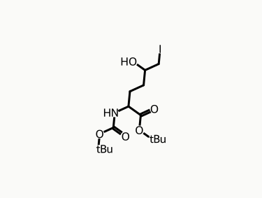 CC(C)(C)OC(=O)NC(CCC(O)CI)C(=O)OC(C)(C)C